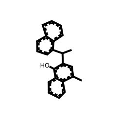 Cc1cc(C(C)c2cccc3ccccc23)c(O)c2ccccc12